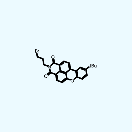 CC(C)(C)c1ccc2oc3ccc4c(=O)n(CCCBr)c(=O)c5ccc(c2c1)c3c45